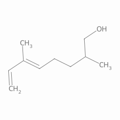 C=CC(C)=CCCC(C)CO